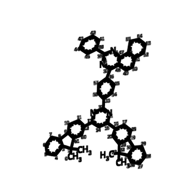 CC1(C)c2ccccc2-c2ccc(-c3cc(-c4ccc5c(c4)C(C)(C)c4ccccc4-5)nc(-c4ccc(-c5nc(-c6ccccc6)nc6c5ccc5ccccc56)cc4)n3)cc21